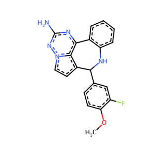 COc1ccc(C2Nc3ccccc3-c3nc(N)nn4ccc2c34)cc1F